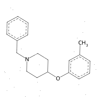 Cc1cccc(OC2CCN(Cc3ccccc3)CC2)c1